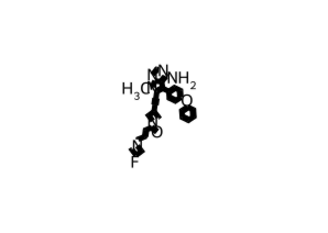 Cn1c(C#CC2CN(C(=O)/C=C/CN3CC(F)C3)C2)c(-c2ccc(Oc3ccccc3)cc2)c2c(N)ncnc21